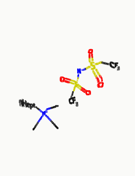 CCCCCCC[N+](C)(C)C.O=S(=O)([N-]S(=O)(=O)C(F)(F)F)C(F)(F)F